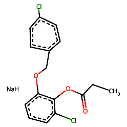 CCC(=O)Oc1c(Cl)cccc1OCc1ccc(Cl)cc1.[NaH]